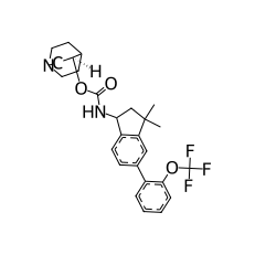 CC1(C)CC(NC(=O)O[C@H]2CN3CCC2CC3)c2ccc(-c3ccccc3OC(F)(F)F)cc21